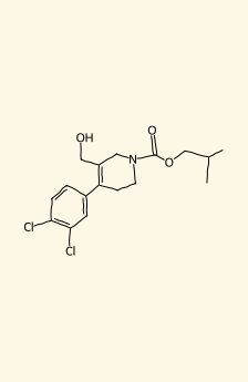 CC(C)COC(=O)N1CCC(c2ccc(Cl)c(Cl)c2)=C(CO)C1